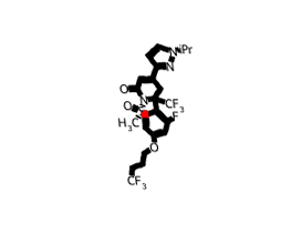 CC(C)n1ccc(C2=CC(=O)N(S(C)(=O)=O)C(c3ccc(OCCCC(F)(F)F)cc3F)(C(F)(F)F)C2)n1